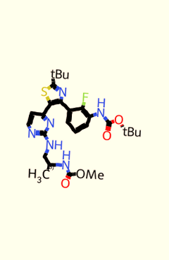 COC(=O)N[C@@H](C)CNc1nccc(-c2sc(C(C)(C)C)nc2-c2cccc(NC(=O)OC(C)(C)C)c2F)n1